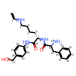 C=CNCCCC[C@H](NC(=O)[C@@H](N)Cc1ccccc1)C(=O)Nc1ccc(CO)cc1